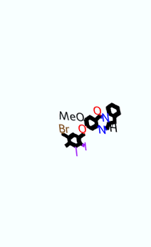 COc1cc2c(cc1OCc1cc(CBr)c(C)c(I)c1I)N=C[C@@H]1Cc3ccccc3N1C2=O